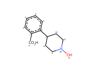 O=C(O)c1ccccc1C1CCN(O)CC1